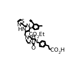 C#Cc1cc(C)ccc1[C@@H]1N=C(c2nccs2)NC(CN2CCN3C(=O)N(c4ccc(CCC(=O)O)cc4)C[C@@H]3C2)=C1C(=O)OCC